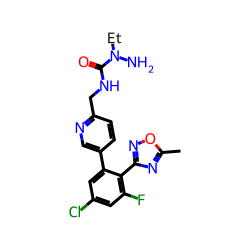 CCN(N)C(=O)NCc1ccc(-c2cc(Cl)cc(F)c2-c2noc(C)n2)cn1